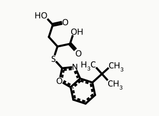 CC(C)(C)c1cccc2oc(SC(CC(=O)O)C(=O)O)nc12